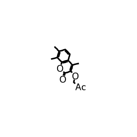 CC(=O)COc1c(C)c2ccc(C)c(C)c2oc1=O